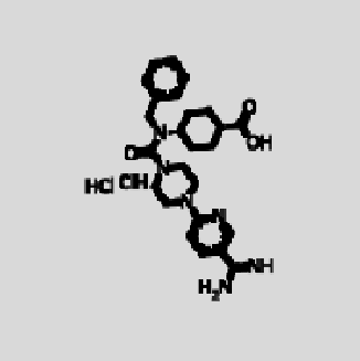 Cl.Cl.N=C(N)c1ccc(N2CCN(C(=O)N(Cc3ccccc3)[C@H]3CC[C@H](C(=O)O)CC3)CC2)nc1